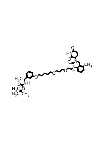 Cc1cccc(NCCOCCCOCCCCCOc2cccc([C@@H](C)NC(=O)OC(C)(C)C)c2)c1CN(C=O)C1CCC(=O)NC1=O